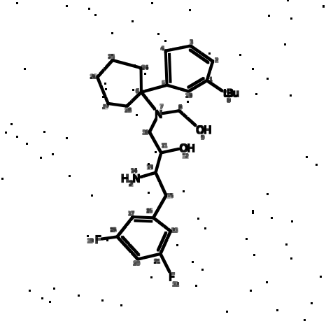 CC(C)(C)c1cccc(C2(N(CO)CC(O)C(N)Cc3cc(F)cc(F)c3)CCCCC2)c1